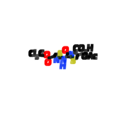 CC(=O)OCC1=CSC2C(Nc3nc(C(=O)OCC(Cl)(Cl)Cl)cs3)C(=O)N2[C@H]1C(=O)O